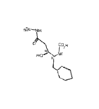 CCCCNC(=O)C[C@H](O)[C@H](CC1CCCCC1)NC(=O)O